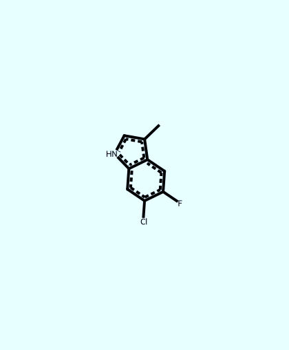 Cc1c[nH]c2cc(Cl)c(F)cc12